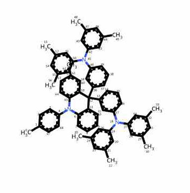 Cc1ccc(N2c3ccccc3C(c3cccc(N(c4cc(C)cc(C)c4)c4cc(C)cc(C)c4)c3)(c3cccc(N(c4cc(C)cc(C)c4)c4cc(C)cc(C)c4)c3)c3cc(C)ccc32)cc1